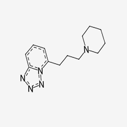 c1cc(CCCN2CCCCC2)n2nnnc2c1